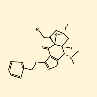 CN(C)[C@@H]1c2onc(OCc3ccccc3)c2C(=O)[C@@]23O[C@@H](CC2CO)C[C@@H]13